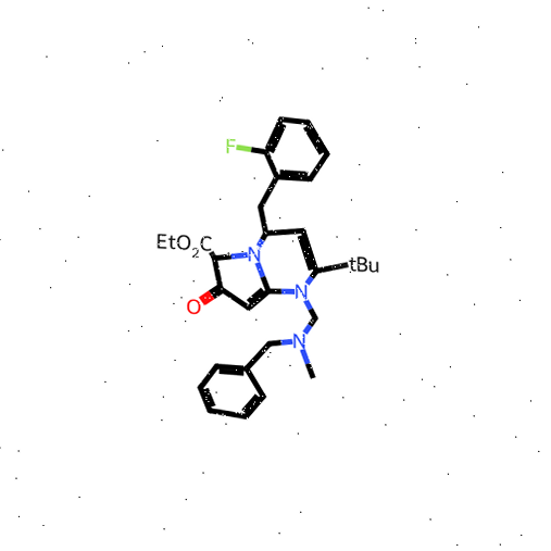 CCOC(=O)C1C(=O)C=C2N(CN(C)Cc3ccccc3)C(C(C)(C)C)=CC(Cc3ccccc3F)N21